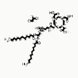 CCCCCCCCCCCC(=O)OC[C@H](COP(=O)(O)OCCNC(=O)CN1CCN(CC(=O)O)CCN(CC(=O)O)CCN(CC(=O)O)CC1)OC(=O)CCCCCCCCCCC.ClC=C(Cl)Cl